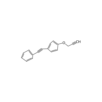 C#CCOc1ccc(C#Cc2ccccc2)cc1